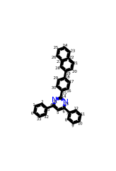 c1ccc(-c2cc(-c3ccccc3)nc(-c3ccc(-c4ccc5ccccc5c4)cc3)n2)cc1